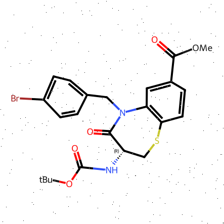 COC(=O)c1ccc2c(c1)N(Cc1ccc(Br)cc1)C(=O)[C@@H](NC(=O)OC(C)(C)C)CS2